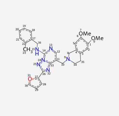 COc1cc2c(cc1OC)CN(Cc1cnc(NCc3ccccc3C)n3nc(-c4ccco4)nc13)CC2